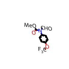 COC(=O)N(C=O)c1ccc(OC(F)(F)F)cc1